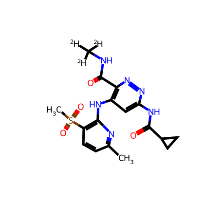 [2H]C([2H])([2H])NC(=O)c1nnc(NC(=O)C2CC2)cc1Nc1nc(C)ccc1S(C)(=O)=O